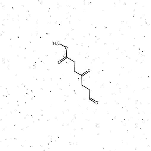 COC(=O)CCC(=O)CCC=O